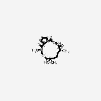 C[C@@H]1CCC[C@](C)(O)CCCN(C)C(=O)[C@@H]2CCCN2C(=O)CNC1=O